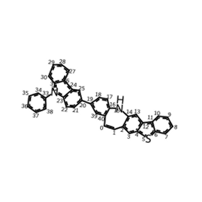 C1=Cc2cc3sc4ccccc4c3cc2Nc2ccc(-c3ccc4c(c3)c3ccccc3n4-c3ccccc3)cc21